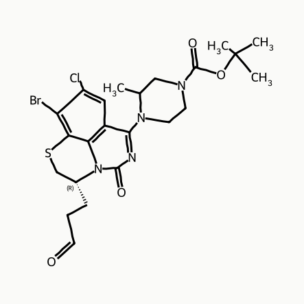 CC1CN(C(=O)OC(C)(C)C)CCN1c1nc(=O)n2c3c(c(Br)c(Cl)cc13)SC[C@H]2CCC=O